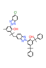 Cc1cc(-n2nc3ccc(Cl)cc3n2)c(O)c(C(C)(C)Cc2ccc3nn(-c4cc(C(C)(C)c5ccccc5)cc(C(C)(C)c5ccccc5)c4O)nc3c2)c1